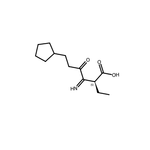 CC[C@@H](C(=N)C(=O)CCC1CCCC1)C(=O)O